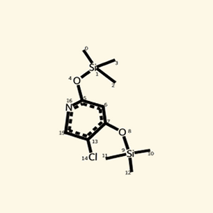 C[Si](C)(C)Oc1cc(O[Si](C)(C)C)c(Cl)cn1